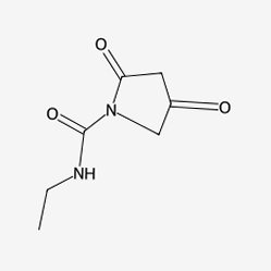 CCNC(=O)N1CC(=O)CC1=O